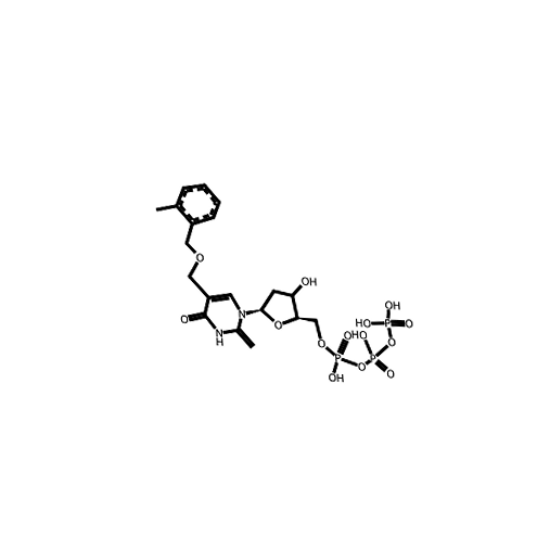 C=C1NC(=O)C(COCc2ccccc2C)=CN1[C@H]1CC(O)[C@@H](COP(=O)(O)OP(=O)(O)OP(=O)(O)O)O1